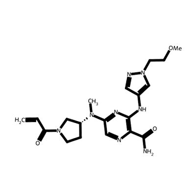 C=CC(=O)N1CC[C@@H](N(C)c2cnc(C(N)=O)c(Nc3cnn(CCOC)c3)n2)C1